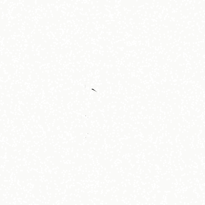 BC[C@H](O)CNBr